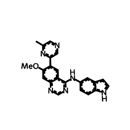 COc1cc2ncnc(Nc3ccc4[nH]ccc4c3)c2cc1-c1cncc(C)n1